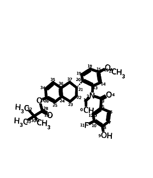 CCN(C(=O)c1ccc(O)c(F)c1)c1cc(OC)ccc1[C@@H]1CCc2cc(OC(=O)C(C)(C)C)ccc2C1